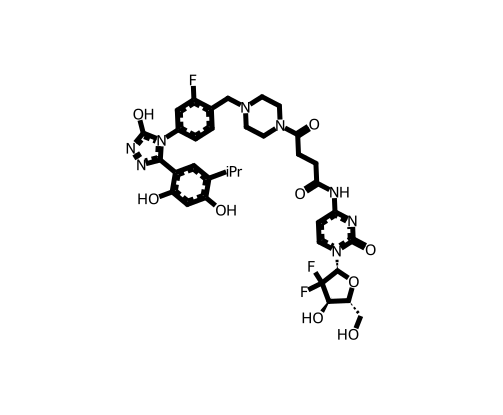 CC(C)c1cc(-c2nnc(O)n2-c2ccc(CN3CCN(C(=O)CCC(=O)Nc4ccn([C@@H]5O[C@H](CO)[C@@H](O)C5(F)F)c(=O)n4)CC3)c(F)c2)c(O)cc1O